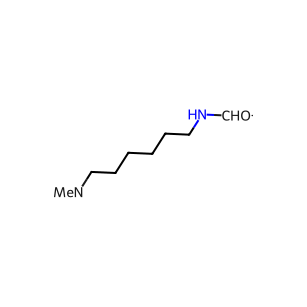 CNCCCCCCN[C]=O